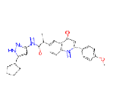 COc1ccc(-c2cc(=O)c3cc(C(C)C(=O)Nc4cc(C5CCCC5)[nH]n4)ccc3[nH]2)cc1